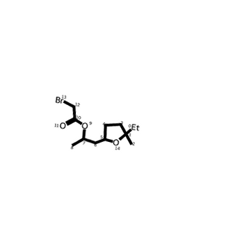 CCC1(C)CCC(CC(C)OC(=O)CBr)O1